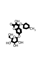 C[C@H]1CC[C@@H](Oc2c(O)c(=O)oc3cc(O[C@@H]4O[C@H](CO)[C@@H](O)[C@H](O)[C@H]4O)ccc23)CC1